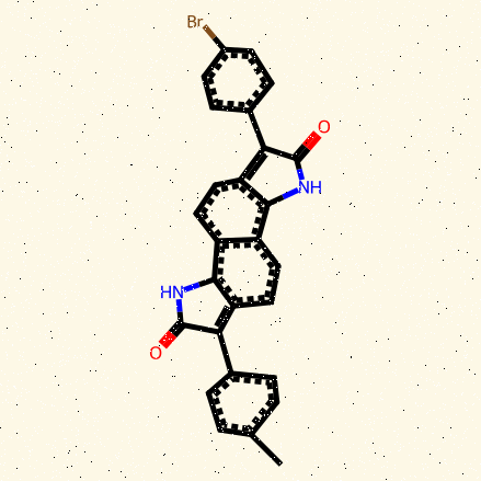 Cc1ccc(C2=c3ccc4c5c(ccc4c3NC2=O)=C(c2ccc(Br)cc2)C(=O)N5)cc1